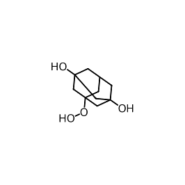 OOC12CC3CC(O)(CC(O)(C3)C1)C2